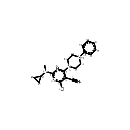 CN(c1nc(Cl)c(C#N)c(N2CCN(c3ccccc3)CC2)n1)C1CC1